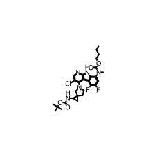 CCCCOC(=O)N(C)c1cc(F)c(F)c2c1[nH]c1ncc(Cl)c(N3CCC4(CC4NC(=O)OC(C)(C)C)C3)c12